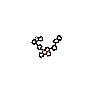 c1ccc(-c2ccccc2N(c2ccc(-c3cccc(-c4ccc5ccccc5c4)c3)cc2)c2ccc(-c3cccc4oc5ccccc5c34)cc2)cc1